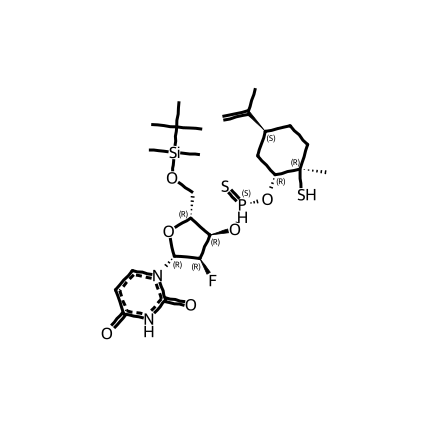 C=C(C)[C@H]1CC[C@@](C)(S)[C@H](O[P@@H](=S)O[C@H]2[C@@H](F)[C@H](n3ccc(=O)[nH]c3=O)O[C@@H]2CO[Si](C)(C)C(C)(C)C)C1